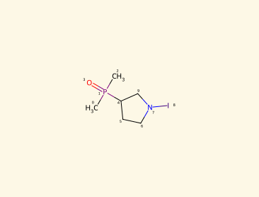 CP(C)(=O)C1CCN(I)C1